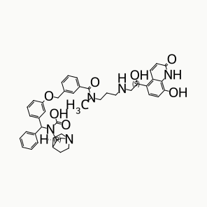 CN(CCCNC[C@@H](O)c1ccc(O)c2[nH]c(=O)ccc12)C(=O)c1cccc(COc2cccc(C(c3ccccc3)N(C(=O)O)[C@H]3CN4CCC3CC4)c2)c1